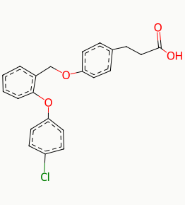 O=C(O)CCc1ccc(OCc2ccccc2Oc2ccc(Cl)cc2)cc1